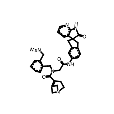 CNCc1ccccc1CN(CC(=O)Nc1ccc2c(c1)CC1(C2)C(=O)Nc2ncccc21)C(=O)C1=C2CN(CC1)C2